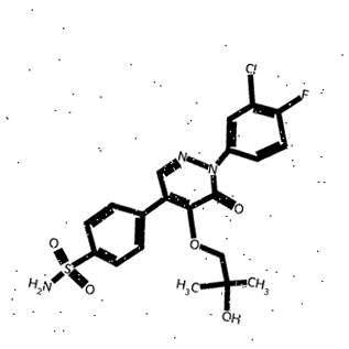 CC(C)(O)COc1c(-c2ccc(S(N)(=O)=O)cc2)cnn(-c2ccc(F)c(Cl)c2)c1=O